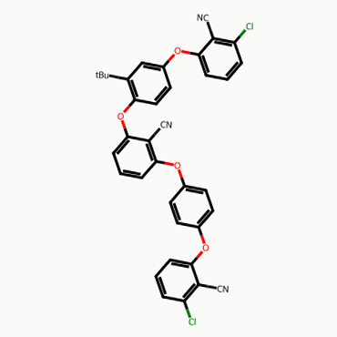 CC(C)(C)c1cc(Oc2cccc(Cl)c2C#N)ccc1Oc1cccc(Oc2ccc(Oc3cccc(Cl)c3C#N)cc2)c1C#N